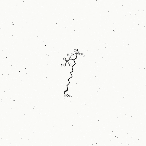 CCCCCCCC/C=C/CCCCCCCCC(C[N+](C)(C)C)OP(=O)([O-])O